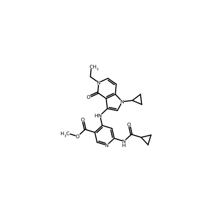 CCn1ccc2c(c(Nc3cc(NC(=O)C4CC4)ncc3C(=O)OC)cn2C2CC2)c1=O